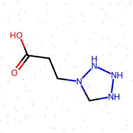 O=C(O)CCN1CNNN1